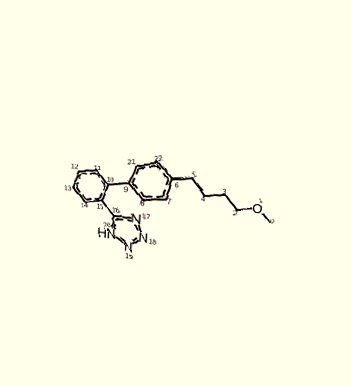 COCCCCc1ccc(-c2ccccc2-c2nnn[nH]2)cc1